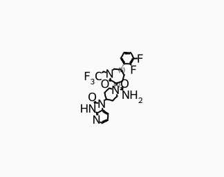 NC(=O)[N+]1([C@@H]2CC[C@@H](c3cccc(F)c3F)CN(CC(F)(F)F)C2=O)CCC(n2c(=O)[nH]c3ncccc32)CC1